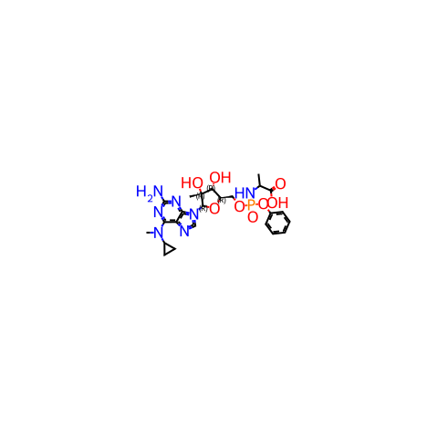 CC(NP(=O)(OC[C@H]1O[C@@H](n2cnc3c(N(C)C4CC4)nc(N)nc32)[C@](C)(O)[C@@H]1O)Oc1ccccc1)C(=O)O